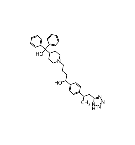 CC(Cc1nnn[nH]1)c1ccc(C(O)CCCN2CCC(C(O)(c3ccccc3)c3ccccc3)CC2)cc1